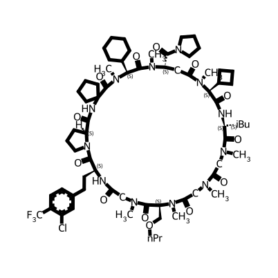 CCCOC[C@H]1C(=O)N(C)CC(=O)N[C@@H](CCc2ccc(C(F)(F)F)c(Cl)c2)C(=O)N2CCC[C@H]2C(=O)NC2(CCCC2)C(=O)N(C)[C@@H](C2CCCCC2)C(=O)N(C)[C@H](C(=O)N2CCCC2)CC(=O)N(C)[C@@H](C2CCC2)C(=O)N[C@@H]([C@@H](C)CC)C(=O)N(C)CC(=O)N(C)CC(=O)N1C